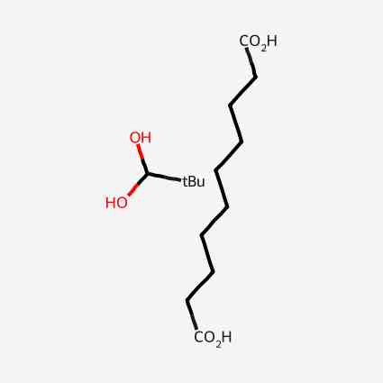 CC(C)(C)C(O)O.O=C(O)CCCCCCCCC(=O)O